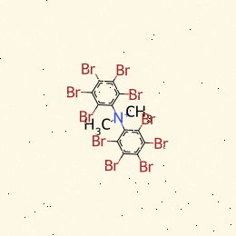 C[N+](C)(c1c(Br)c(Br)c(Br)c(Br)c1Br)c1c(Br)c(Br)c(Br)c(Br)c1Br